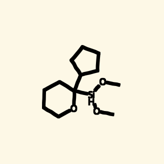 CO[SiH](OC)C1(C2CCCC2)CCCCO1